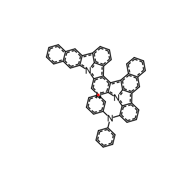 c1ccc(N(c2ccccc2)c2cccc3c4cc5ccccc5c5c6c7c8cccc9c%10cc%11ccccc%11cc%10n(c7cnc6n(c23)c45)c98)cc1